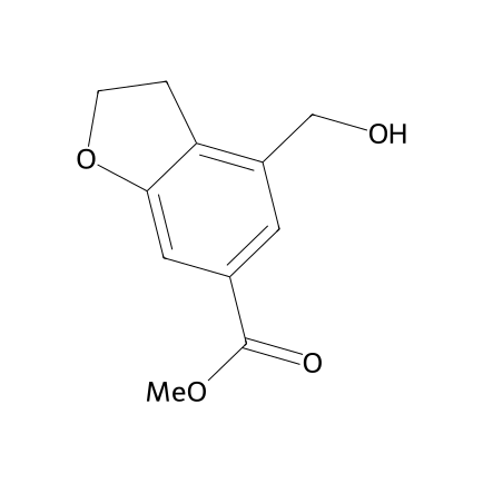 COC(=O)c1cc(CO)c2c(c1)OCC2